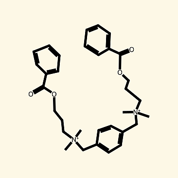 C[N+](C)(CCCOC(=O)c1ccccc1)Cc1ccc(C[N+](C)(C)CCCOC(=O)c2ccccc2)cc1